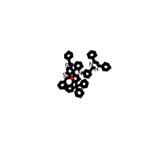 c1ccc(-c2cc(-c3ccccc3)nc(-c3cccc(N4c5ccccc5C5(c6cc7c(cc64)C(c4ccccc4)(c4ccccc4)c4ccccc4-7)c4cc(-c6ccccc6)sc4-c4sc(-c6ccccc6)cc45)c3)n2)cc1